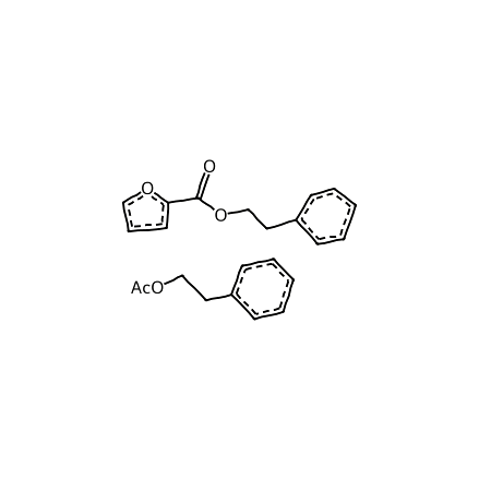 CC(=O)OCCc1ccccc1.O=C(OCCc1ccccc1)c1ccco1